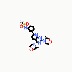 CC(C)S(=O)(=O)Nc1cccc(-c2ccc3c(N4CCOC[C@@H]4C)nc(N4CCOC[C@@H]4C)nc3n2)c1